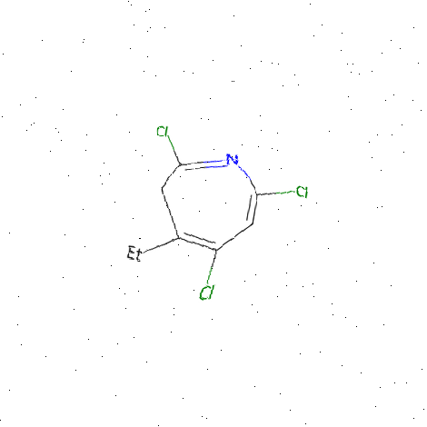 CCC1=C(Cl)C=C(Cl)N=C(Cl)C1